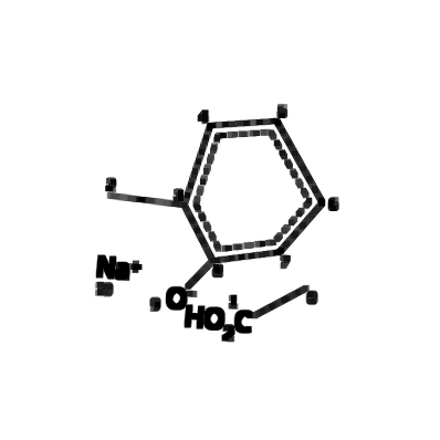 CC(=O)O.Cc1ccccc1[O-].[Na+]